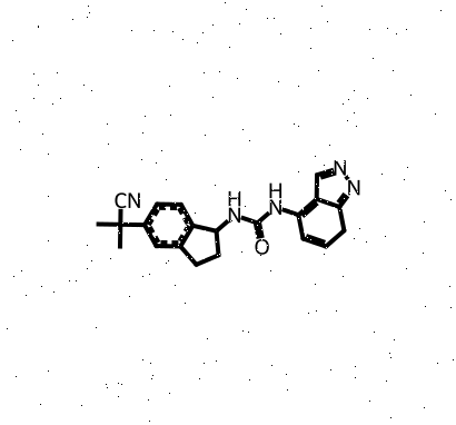 CC(C)(C#N)c1ccc2c(c1)CCC2NC(=O)NC1=C2C=NN=C2CC=C1